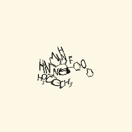 COC[C@]1(C)Nc2c(cnc3[nH]cc(C(=O)c4ccc(Oc5ccccc5)cc4F)c23)NC1=O